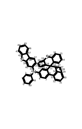 c1ccc(N(c2ccc3c(c2)C2(c4ccccc4Sc4ccccc42)c2cccc4cccc-3c24)c2ccc3c(c2)sc2ccccc23)cc1